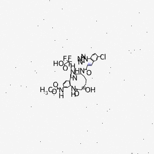 COC(=O)Nc1ccc2c(c1)NC(=O)C[C@@H](O)CCCC(NC(=O)/C=C/c1cc(Cl)ccc1-n1cnnn1)c1nc-2c[nH]1.O=C(O)C(F)(F)F